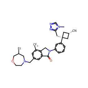 CCC1COCCN(Cc2cc3c(c(C(F)(F)F)c2)CN(c2cccc([C@]4(Cc5nncn5C)C[C@@H](C#N)C4)c2)C3=O)C1